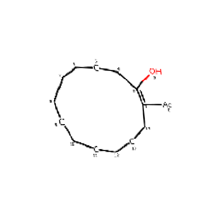 CC(=O)/C1=C(\O)CCCCCCCCCCC1